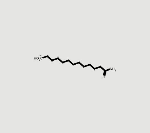 NC(=O)CCCCCCCCCCCC(=O)O